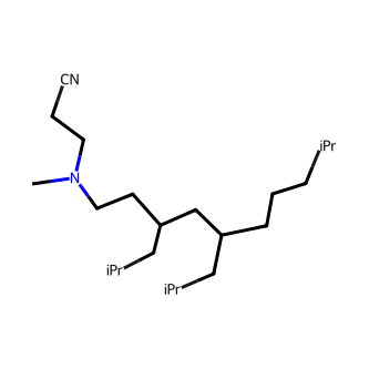 CC(C)CCCC(CC(C)C)CC(CCN(C)CCC#N)CC(C)C